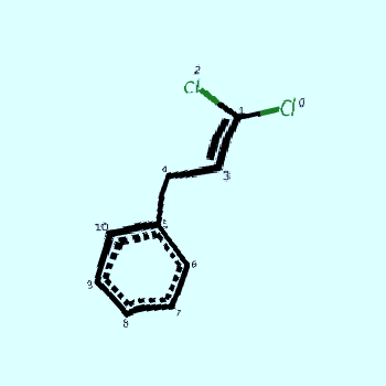 ClC(Cl)=CCc1ccccc1